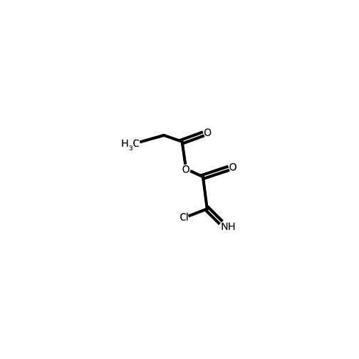 CCC(=O)OC(=O)C(=N)Cl